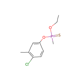 CCOP(C)(=S)Oc1ccc(Cl)c(C)c1